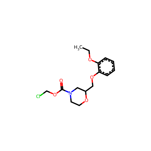 CCOc1ccccc1OCC1CN(C(=O)OCCl)CCO1